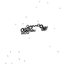 CCCCN1C(=O)[C@@H]([C@H](O)C2CCCCC2)NC(=O)C12CCN(CCCCOc1ccc(NS(C)(=O)=O)cc1)CC2